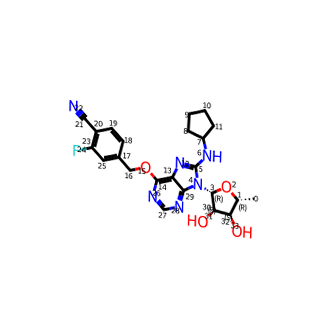 C[C@H]1O[C@@H](n2c(NC3CCCC3)nc3c(OCc4ccc(C#N)c(F)c4)ncnc32)[C@H](O)[C@@H]1O